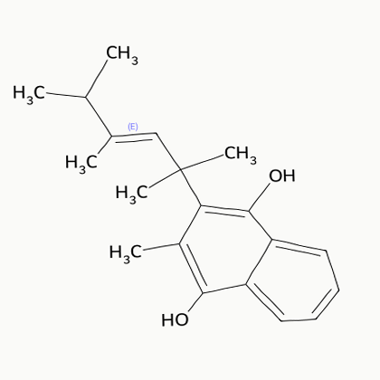 C/C(=C\C(C)(C)c1c(C)c(O)c2ccccc2c1O)C(C)C